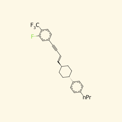 CCCc1ccc([C@H]2CC[C@H](C=CC#Cc3ccc(C(F)(F)F)c(F)c3)CC2)cc1